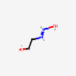 OCCN=NO